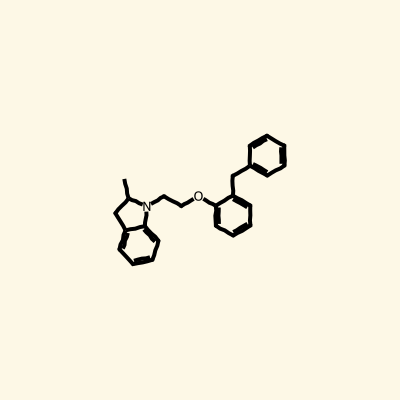 CC1Cc2ccccc2N1CCOc1ccccc1Cc1ccccc1